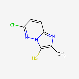 Cc1nc2ccc(Cl)nn2c1S